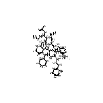 CC(C)C[C@H](N)[C@H](N=N)[C@H](CC1CCCCC1)NC(=O)[C@H](Cc1csc(N)n1)NC(=O)N(CC(=O)N(C)CCc1ccccn1)CC1CCCCC1